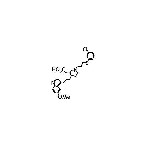 COc1ccc2nccc(CCC[C@@H]3CCN(CCCSc4cccc(Cl)c4)C[C@@H]3CC(=O)O)c2c1